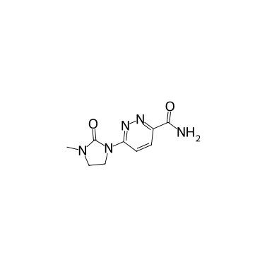 CN1CCN(c2ccc(C(N)=O)nn2)C1=O